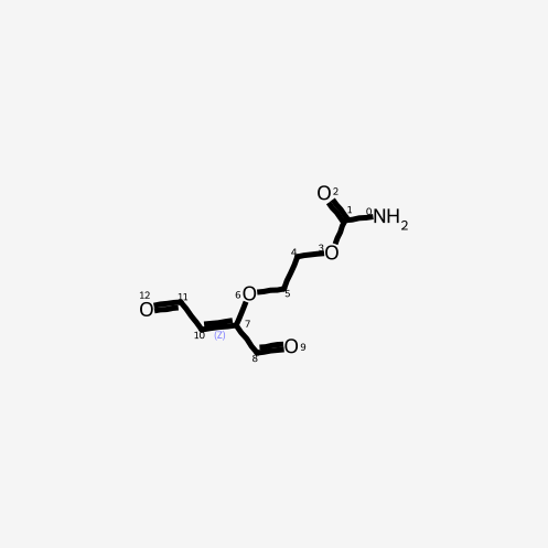 NC(=O)OCCO/C(C=O)=C\C=O